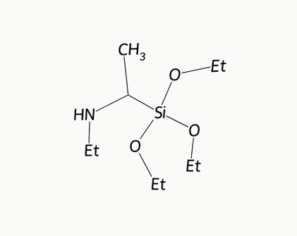 CCNC(C)[Si](OCC)(OCC)OCC